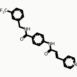 O=C(/C=C/c1ccncc1)Nc1ccc(C(=O)NCc2cccc(C(F)(F)F)c2)cc1